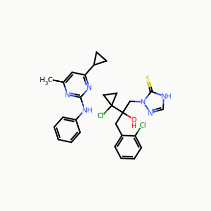 Cc1cc(C2CC2)nc(Nc2ccccc2)n1.OC(Cc1ccccc1Cl)(Cn1nc[nH]c1=S)C1(Cl)CC1